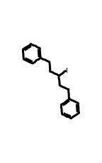 IC(CCc1ccccc1)CCc1ccccc1